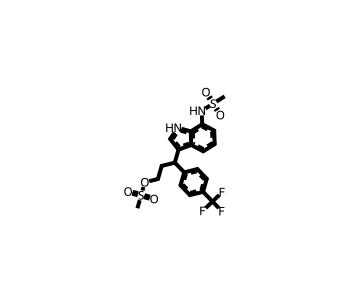 CS(=O)(=O)Nc1cccc2c(C(CCOS(C)(=O)=O)c3ccc(C(F)(F)F)cc3)c[nH]c12